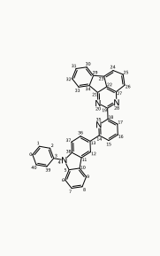 c1ccc(-n2c3ccccc3c3cc(-c4cccc(-c5nc6c7c(cccc7n5)-c5ccccc5-6)n4)ccc32)cc1